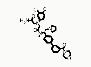 CN(C(=O)CN(CC(N)=O)c1ccc(Cl)c(Cl)c1)[C@@H](CN1CCCC1)c1ccc(-c2cccc(C(=O)N3CCOCC3)c2)cc1